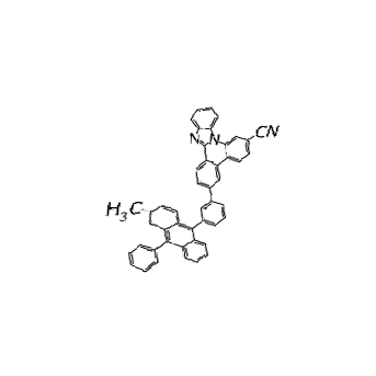 C[C@@H]1C=Cc2c(c(-c3ccccc3)c3ccccc3c2-c2cccc(-c3ccc4c(c3)c3ccc(C#N)cc3n3c5ccccc5nc43)c2)C1